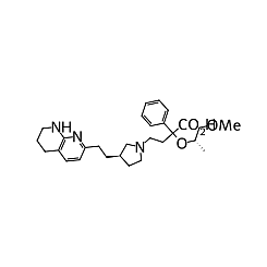 COC[C@H](C)OC(CCN1CC[C@@H](CCc2ccc3c(n2)NCCC3)C1)(C(=O)O)c1ccccc1